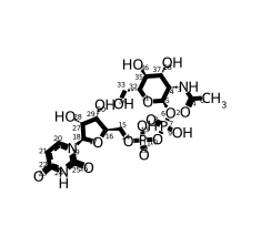 CC(=O)N[C@@H]1[C@@H](OP(=O)(O)OP(=O)(O)OC[C@H]2O[C@@H](n3ccc(=O)[nH]c3=O)[C@H](O)[C@@H]2O)O[C@H](CO)[C@@H](O)[C@@H]1O